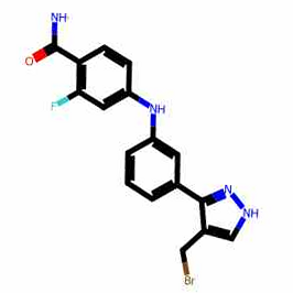 [NH]C(=O)c1ccc(Nc2cccc(-c3n[nH]cc3CBr)c2)cc1F